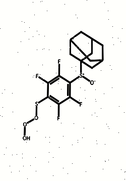 [O-][S+](c1c(F)c(F)c(SOOO)c(F)c1F)C12CC3CC(CC(C3)C1)C2